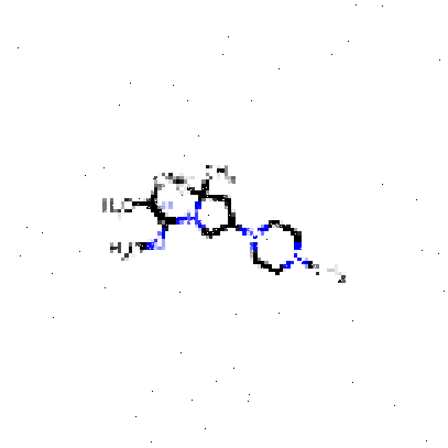 C=N/C(=C(\C)OC)N1CC(N2CCN(C)CC2)CC1(C)C